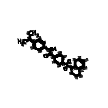 CC(C)c1ccc(NC(=O)c2ccc(S(=O)(=O)N3CCCc4ccccc43)cc2)cc1